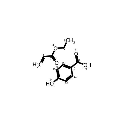 C=CC(=O)OCC.O=C(O)c1ccc(O)cc1